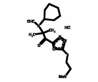 CNCCSc1nnc(C(=O)C(C)(C)N(C=O)C2CCCCC2)o1.Cl